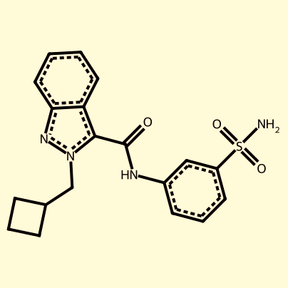 NS(=O)(=O)c1cccc(NC(=O)c2c3ccccc3nn2CC2CCC2)c1